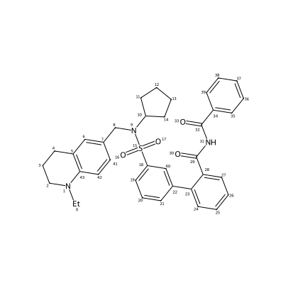 CCN1CCCc2cc(CN(C3CCCC3)S(=O)(=O)c3cccc(-c4ccccc4C(=O)NC(=O)c4ccccc4)c3)ccc21